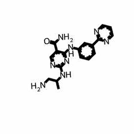 CC(CN)Nc1ncc(C(N)=O)c(Nc2cccc(-c3ncccn3)c2)n1